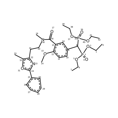 CCOP(=O)(OCC)C(c1ccc(OC)c(C(=O)N(C)CCc2nc(-c3ccccc3)oc2C)c1)P(=O)(OCC)OCC